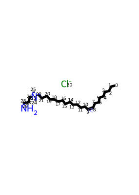 CCCCCCCC/C=C\CCCCCCCCCCCCC[N+](C)(C)CCCN.[Cl-]